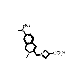 CCCCN(C)c1ccc2c(c1)C[C@H](C)C(CN1CC(C(=O)O)C1)=C2